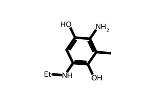 CCNc1cc(O)c(N)c(C)c1O